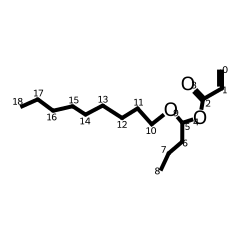 C=CC(=O)OC(CCC)OCCCCCCCCC